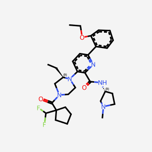 CCOc1ccccc1-c1ccc(N2CCN(C(=O)C3(C(F)F)CCCC3)C[C@H]2CC)c(C(=O)N[C@@H]2CCN(C)C2)n1